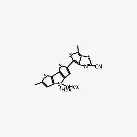 CCCCCC[Si]1(CCCCCC)c2cc(C)sc2-c2sc(-c3sc(C)c4sc(C#N)nc34)cc21